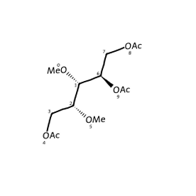 CO[C@@H]([C@@H](COC(C)=O)OC)[C@@H](COC(C)=O)OC(C)=O